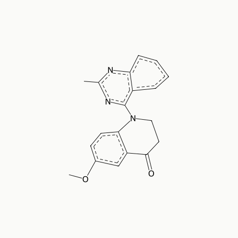 COc1ccc2c(c1)C(=O)CCN2c1nc(C)nc2ccccc12